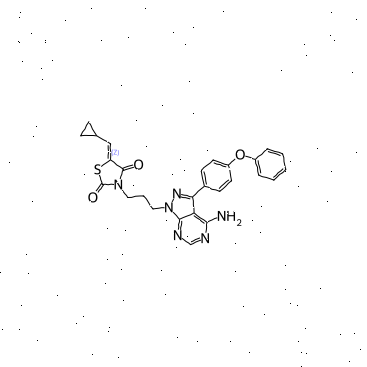 Nc1ncnc2c1c(-c1ccc(Oc3ccccc3)cc1)nn2CCCN1C(=O)S/C(=C\C2CC2)C1=O